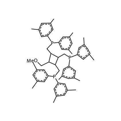 COCC1C(CP(c2cc(C)cc(C)c2)c2cc(C)cc(C)c2)C(CP(c2cc(C)cc(C)c2)c2cc(C)cc(C)c2)C1CP(c1cc(C)cc(C)c1)c1cc(C)cc(C)c1